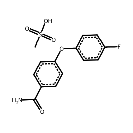 CS(=O)(=O)O.NC(=O)c1ccc(Oc2ccc(F)cc2)cc1